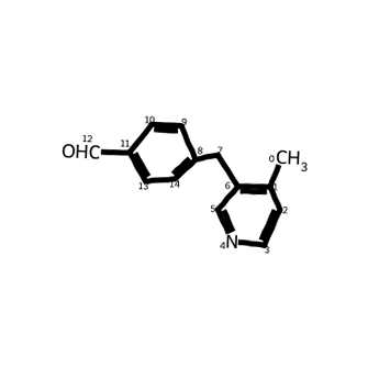 Cc1ccncc1Cc1ccc(C=O)cc1